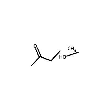 C.CCC(C)=O.CO